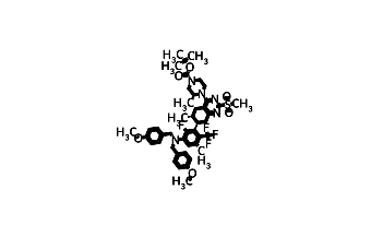 COc1ccc(CN(Cc2ccc(OC)cc2)c2cc(C)c(C(F)(F)F)c([C@@H]3Cc4nc(S(C)(=O)=O)nc(N5CCN(C(=O)OC(C)(C)C)C[C@@H]5C)c4C[C@H]3C)c2F)cc1